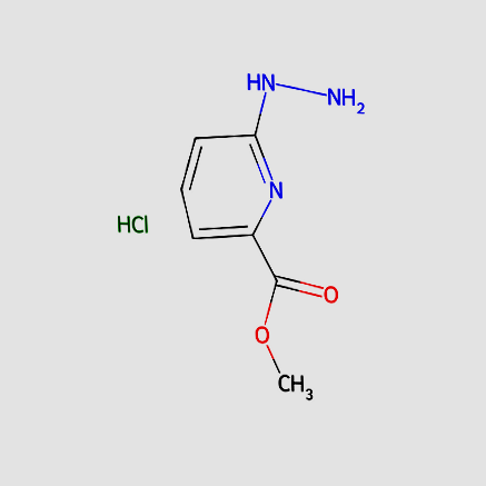 COC(=O)c1cccc(NN)n1.Cl